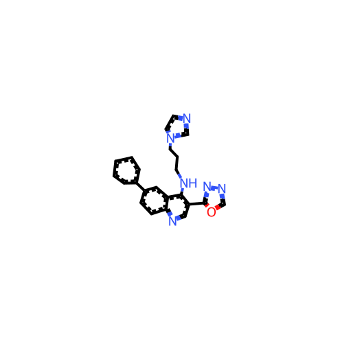 c1ccc(-c2ccc3ncc(-c4nnco4)c(NCCCn4ccnc4)c3c2)cc1